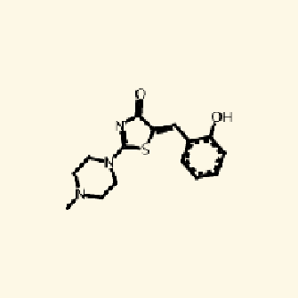 CN1CCN(C2=NC(=O)C(=Cc3ccccc3O)S2)CC1